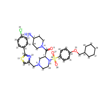 NC1CCN(C(=O)[C@@H]2CN(Cc3csc(-c4ccc(Cl)cc4)n3)CCN2S(=O)(=O)c2ccc(OCC3CCCCC3)cc2)CC1